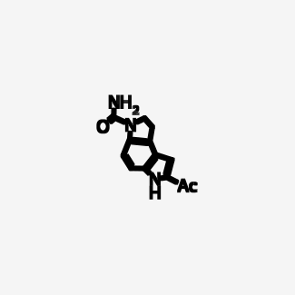 CC(=O)c1cc2c3c(ccc2[nH]1)N(C(N)=O)CC3